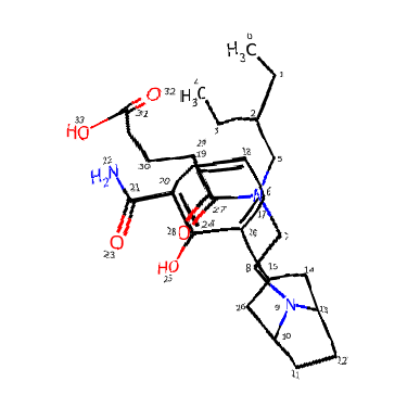 CCC(CC)CN(CCN1C2CCC1CC(c1cccc(C(N)=O)c1O)C2)C(=O)CCC(=O)O